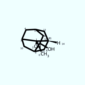 CC1(O)C2CC3CC(O)C(C2)C[C@H]1C3